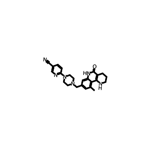 Cc1cc(CN2CCN(c3ccc(C#N)cn3)CC2)cc2[nH]c(=O)c3c(c12)NCCC3